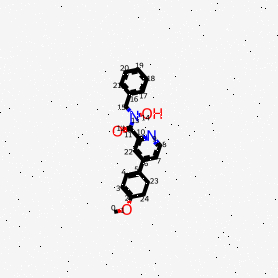 COC1=CC=C(c2ccnc(C(=O)N(O)Cc3ccccc3)c2)CC1